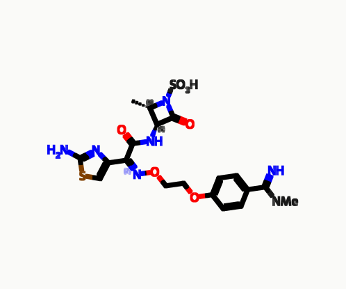 CNC(=N)c1ccc(OCCO/N=C(\C(=O)N[C@@H]2C(=O)N(S(=O)(=O)O)[C@H]2C)c2csc(N)n2)cc1